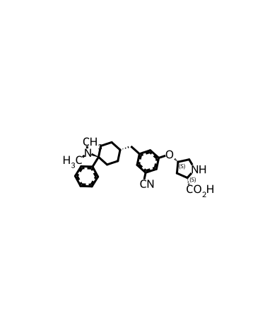 CN(C)[C@]1(c2ccccc2)CC[C@@H](Cc2cc(C#N)cc(O[C@@H]3CN[C@H](C(=O)O)C3)c2)CC1